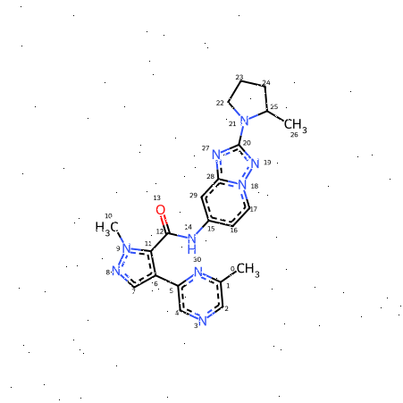 Cc1cncc(-c2cnn(C)c2C(=O)Nc2ccn3nc(N4CCCC4C)nc3c2)n1